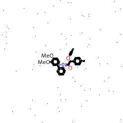 CC#COC(C(=O)Nc1ccccc1-c1ccc(OC)c(OC)c1)c1ccc(C)cc1